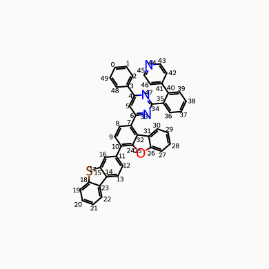 c1ccc(-c2cc(-c3ccc(-c4ccc5c(c4)sc4ccccc45)c4oc5ccccc5c34)nc(-c3ccccc3-c3ccncc3)n2)cc1